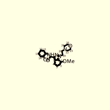 COc1cccc2c(C(=O)Nc3ccccc3C#N)nn(CCN3CCOCC3)c12